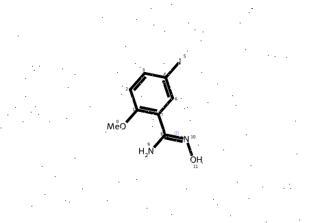 COc1ccc(I)cc1/C(N)=N/O